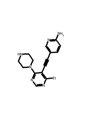 CCc1ncnc(N2CCNCC2)c1C#Cc1ccc(N)nc1